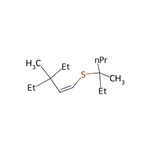 CCCC(C)(CC)S/C=C\C(C)(CC)CC